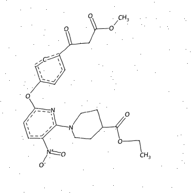 CCOC(=O)C1CCN(c2nc(Oc3ccc(C(=O)CC(=O)OC)cc3)ccc2[N+](=O)[O-])CC1